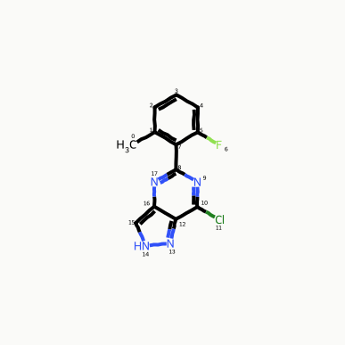 Cc1cccc(F)c1-c1nc(Cl)c2n[nH]cc2n1